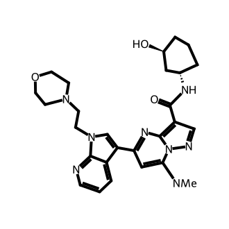 CNc1cc(-c2cn(CCN3CCOCC3)c3ncccc23)nc2c(C(=O)N[C@H]3CCC[C@H](O)C3)cnn12